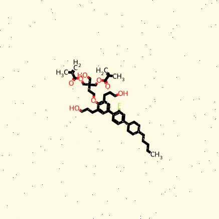 C=C(C)C(=O)OCC(CO)(CCOc1c(CCCO)cc(-c2ccc(C3CCC(CCCCC)CC3)cc2F)cc1CCCO)COC(=O)C(=C)C